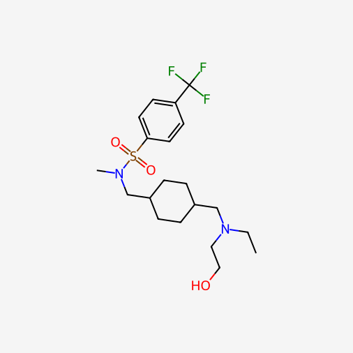 CCN(CCO)CC1CCC(CN(C)S(=O)(=O)c2ccc(C(F)(F)F)cc2)CC1